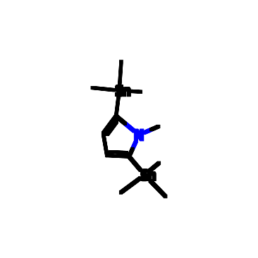 Cn1[c]([Sn]([CH3])([CH3])[CH3])cc[c]1[Sn]([CH3])([CH3])[CH3]